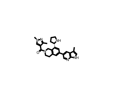 Cc1nn(C)cc1C(=O)N1CCc2cc(-c3cnc4[nH]cc(C)c4c3)cc([C@@H]3CCCN3)c2C1